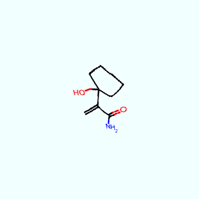 C=C(C(N)=O)C1(O)CCCCC1